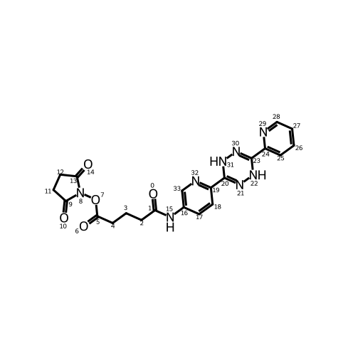 O=C(CCCC(=O)ON1C(=O)CCC1=O)Nc1ccc(C2=NNC(c3ccccn3)=NN2)nc1